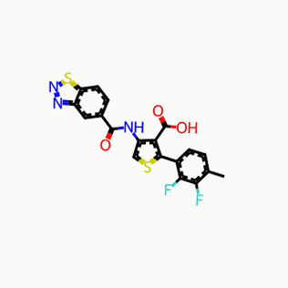 Cc1ccc(-c2scc(NC(=O)c3ccc4snnc4c3)c2C(=O)O)c(F)c1F